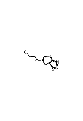 ClCCOc1ccc2nnsc2c1